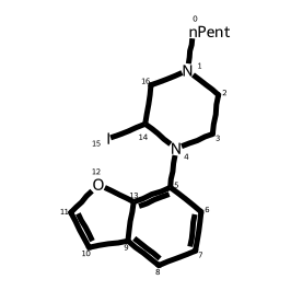 CCCCCN1CCN(c2cccc3ccoc23)C(I)C1